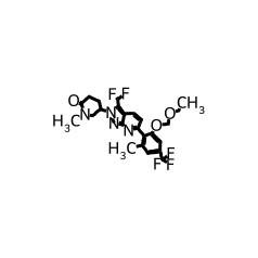 CCOCOc1cc(C(F)(F)F)cc(C)c1-c1ccc2c(C(F)F)n(C3CCC(=O)N(C)C3)nc2n1